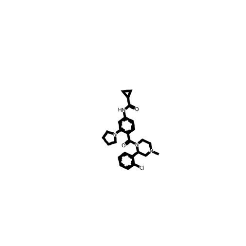 CN1CCN(C(=O)c2ccc(NC(=O)C3CC3)cc2N2CCCC2)C(c2ccccc2Cl)C1